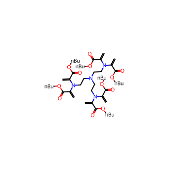 C=C(C(=O)OCCCC)N(CCN(CCN(C(=C)C(=O)OCCCC)C(=C)C(=O)OCCCC)CCN(C(=C)C(=O)OCCCC)C(=C)C(=O)OCCCC)C(=C)C(=O)OCCCC